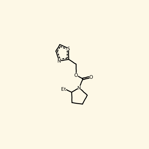 CCC1CCCN1C(=O)OCc1nccs1